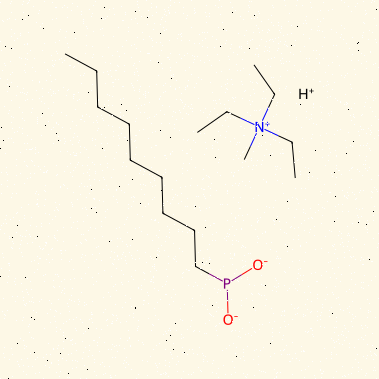 CCCCCCCCCP([O-])[O-].CC[N+](C)(CC)CC.[H+]